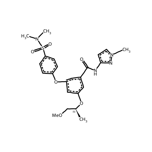 COC[C@H](C)Oc1cc(Oc2ccc(S(=O)(=O)N(C)C)cc2)cc(C(=O)Nc2ccn(C)n2)c1